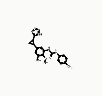 CCCCc1cc(C2CC2c2nnn[nH]2)cc(NC(=O)Nc2ccc(C)cc2)c1OCCC